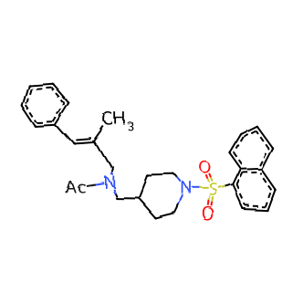 CC(=O)N(C/C(C)=C/c1ccccc1)CC1CCN(S(=O)(=O)c2cccc3ccccc23)CC1